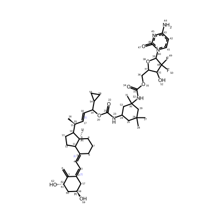 C=C1/C(=C\C=C2/CCC[C@@]3(C)C2CCC3[C@@H](C)/C=C/C(OC(=O)NC2CC(C)(C)CC(C)(NC(=O)OCC3OC(n4ccc(N)nc4=O)C(F)(F)C3O)C2)C2CC2)C[C@@H](O)C[C@@H]1O